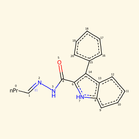 CCC/C=N/NC(=O)c1[nH]c2ccccc2c1-c1ccccc1